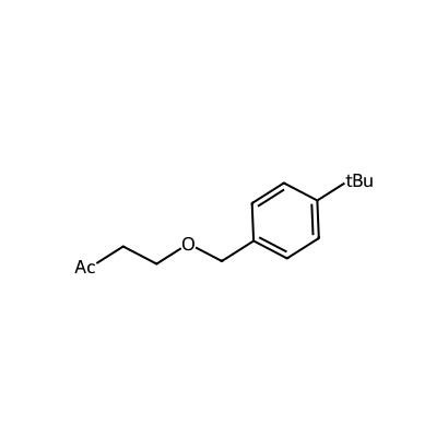 CC(=O)CCOCc1ccc(C(C)(C)C)cc1